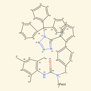 CCCCCN(Cc1ccc(-c2ccccc2-c2nnnn2C(c2ccccc2)(c2ccccc2)c2ccccc2)cc1)C(=O)Nc1c(C)cc(C)cc1C